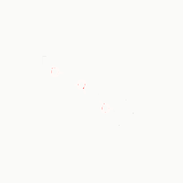 CCOCCOCCOC1=CC=CC1